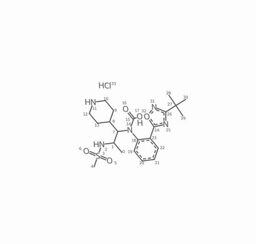 CC(NS(C)(=O)=O)C(C1CCNCC1)N(C(=O)O)c1ccccc1-c1nc(C(C)(C)C)no1.Cl